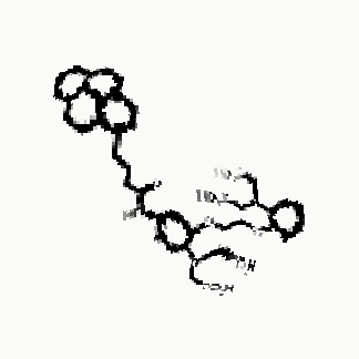 O=C(O)CN(CC(=O)O)c1ccccc1OCCOc1cc(NC(=O)CCCc2ccc3ccc4cccc5ccc2c3c45)ccc1N(CC(=O)O)CC(=O)O